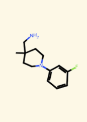 CC1(CN)CCN(c2cccc(F)c2)CC1